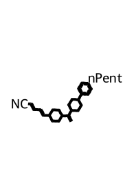 C=C(C1CCC(C=CC=CC#N)CC1)C1CCC(c2ccc(CCCCC)cc2)CC1